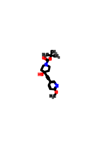 COc1ccc(C#CC2(O)CCN(C(=O)OC(C)(C)C)CC2)cn1